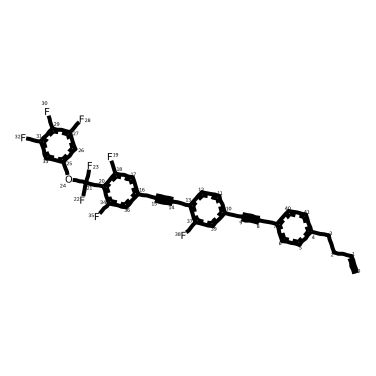 C=CCCc1ccc(C#Cc2ccc(C#Cc3cc(F)c(C(F)(F)Oc4cc(F)c(F)c(F)c4)c(F)c3)c(F)c2)cc1